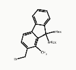 CCCCCCC1(CCCCCC)c2ccccc2-c2ccc(CBr)c(C)c21